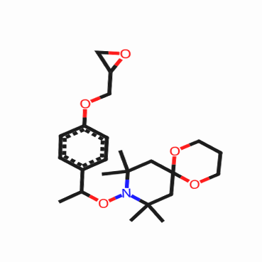 CC(ON1C(C)(C)CC2(CC1(C)C)OCCCO2)c1ccc(OCC2CO2)cc1